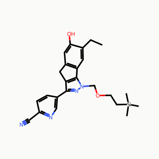 CCc1cc2c(cc1O)Cc1c(-c3ccc(C#N)nc3)nn(COCC[Si](C)(C)C)c1-2